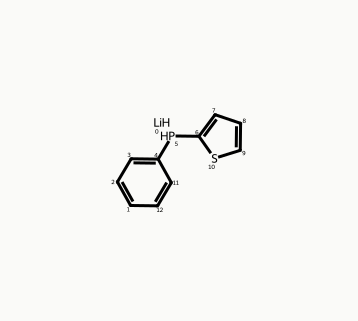 [LiH].c1ccc(Pc2cccs2)cc1